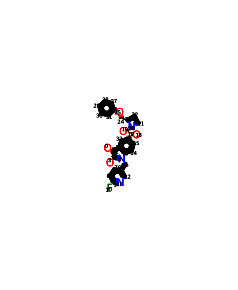 O=C1C(=O)N(Cc2ccc(F)nc2)c2ccc(S(=O)(=O)N3CC[C@H]3COc3ccccc3)cc21